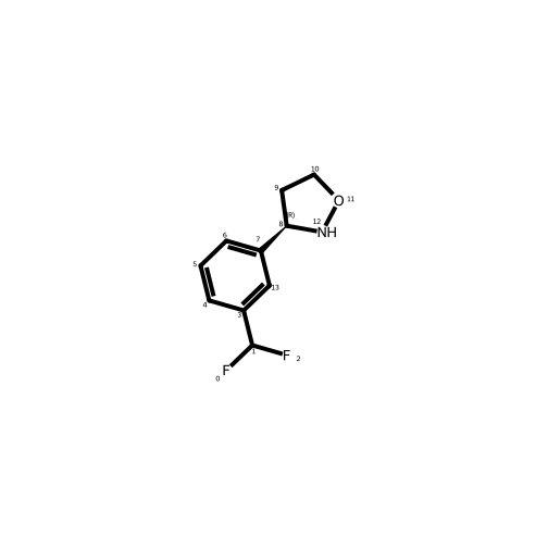 FC(F)c1cccc([C@H]2CCON2)c1